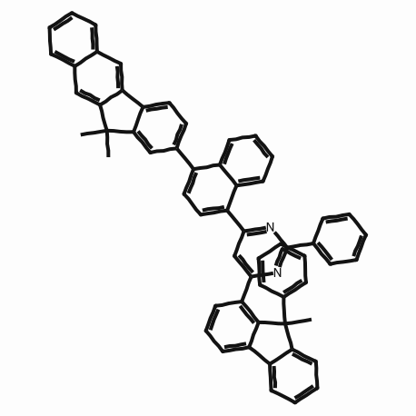 CC1(C)c2cc(-c3ccc(-c4cc(-c5cccc6c5C(C)(c5ccccc5)c5ccccc5-6)nc(-c5ccccc5)n4)c4ccccc34)ccc2-c2cc3ccccc3cc21